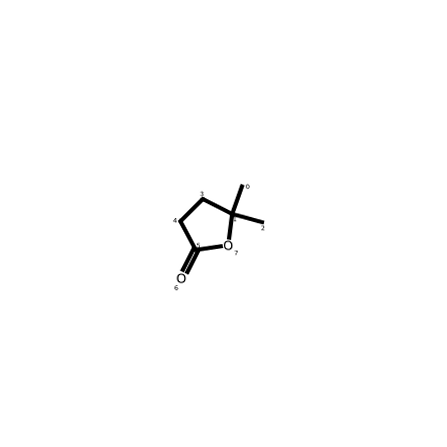 CC1(C)CCC(=O)O1